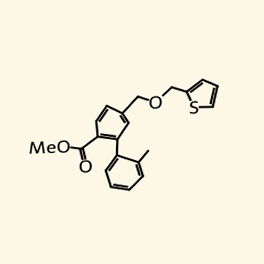 COC(=O)c1ccc(COCc2cccs2)cc1-c1ccccc1C